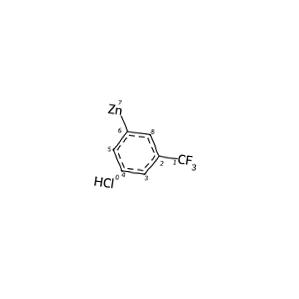 Cl.FC(F)(F)c1ccc[c]([Zn])c1